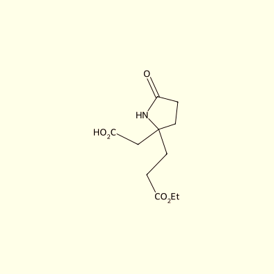 CCOC(=O)CCC1(CC(=O)O)CCC(=O)N1